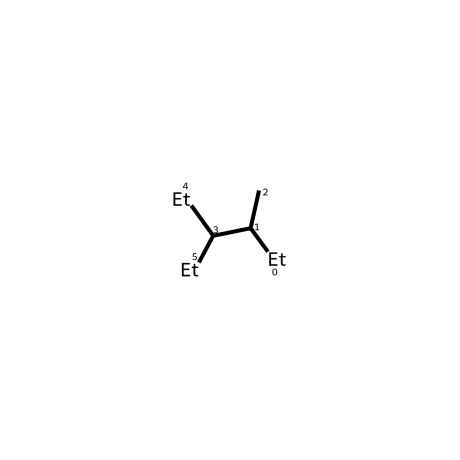 [CH2]CC(C)C(CC)CC